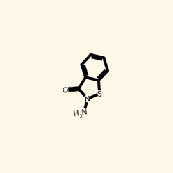 Nn1sc2ccccc2c1=O